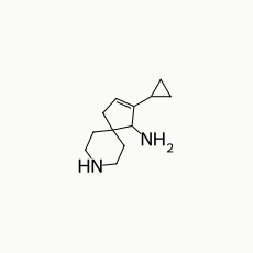 NC1C(C2CC2)=CCC12CCNCC2